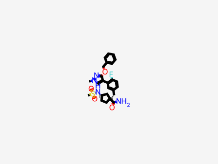 Cn1cc(-c2cc(C[C@]3(C(N)=O)CC[C@H](NS(C)(=O)=O)C3)ccc2F)c(OCc2ccccc2)n1